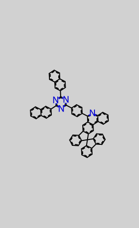 c1ccc2c(c1)-c1ccccc1C21c2ccccc2-c2cc3c(-c4ccc(-c5nc(-c6ccc7ccccc7c6)nc(-c6ccc7ccccc7c6)n5)cc4)nc4ccccc4c3cc21